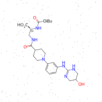 CC(C)COC(=O)N[C@@H](CNC(=O)C1CCN(c2cccc(NC3=NCC(O)CN3)c2)CC1)C(=O)O